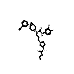 CCOC(=O)NC1CCN(CCCN(C(=O)Nc2ccc(F)c(F)c2)[C@@H]2CC[C@]3(c4cccc(C#N)c4)CC3C2)C1